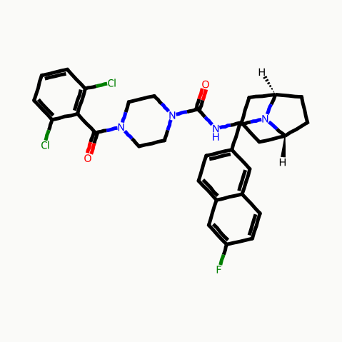 O=C(NC1C[C@H]2CC[C@H](C1)N2Cc1ccc2cc(F)ccc2c1)N1CCN(C(=O)c2c(Cl)cccc2Cl)CC1